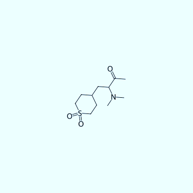 CC(=O)C(CC1CCS(=O)(=O)CC1)N(C)C